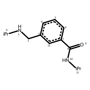 CC(C)NCc1cccc(C(=O)NC(C)C)c1